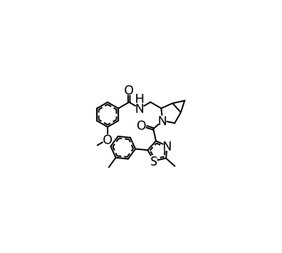 COc1cccc(C(=O)NCC2C3CC3CN2C(=O)c2nc(C)sc2-c2cccc(C)c2)c1